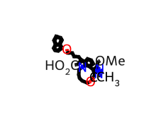 COCc1nn(C)c2c1-c1cccc3c(CCCCOc4cccc5ccccc45)c(C(=O)O)n(c13)CCCCCOC2